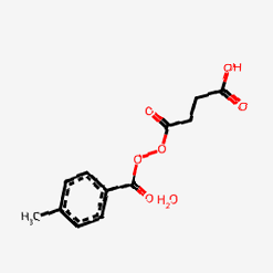 Cc1ccc(C(=O)OOC(=O)CCC(=O)O)cc1.O